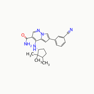 CC1CC[C@@H](Nc2c(C(N)=O)cnn3cc(-c4cccc(C#N)c4)cc23)C1(C)C